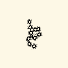 c1ccc(-c2ccc(-c3ccc(N(c4cccc(-c5cccc(-c6ccccc6)c5)c4)c4cccc(-c5cccc(-c6cccc7ccccc67)c5)c4)cc3)cc2)cc1